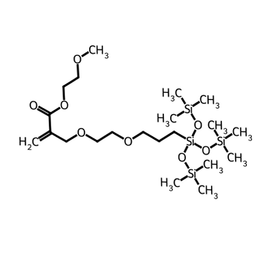 C=C(COCCOCCC[Si](O[Si](C)(C)C)(O[Si](C)(C)C)O[Si](C)(C)C)C(=O)OCCOC